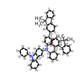 CC1(C)c2ccccc2-c2ccc(-c3ccc(N(c4ccc5c(c4)c4ccccc4n5-c4ccccc4)c4ccccc4-c4cccc5c4-c4ccccc4C5(C)C)cc3)cc21